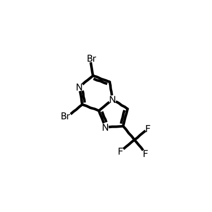 FC(F)(F)c1cn2cc(Br)nc(Br)c2n1